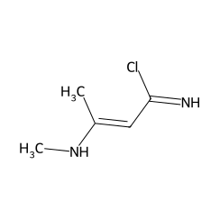 CN/C(C)=C/C(=N)Cl